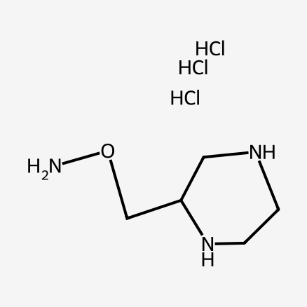 Cl.Cl.Cl.NOCC1CNCCN1